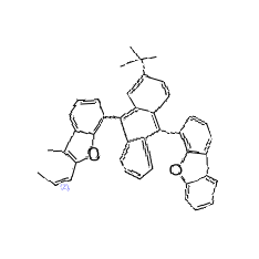 C/C=C\c1oc2c(-c3c4ccccc4c(-c4cccc5c4oc4ccccc45)c4ccc(C(C)(C)C)cc34)cccc2c1C